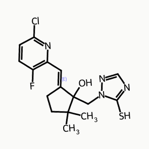 CC1(C)CC/C(=C\c2nc(Cl)ccc2F)C1(O)Cn1ncnc1S